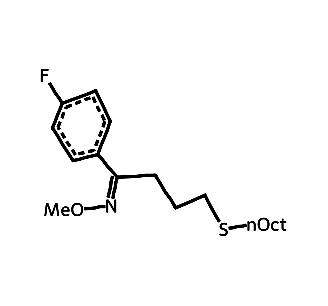 CCCCCCCCSCCC/C(=N/OC)c1ccc(F)cc1